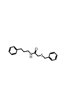 O=C(CSCc1ccccc1)NCCCc1ccccc1